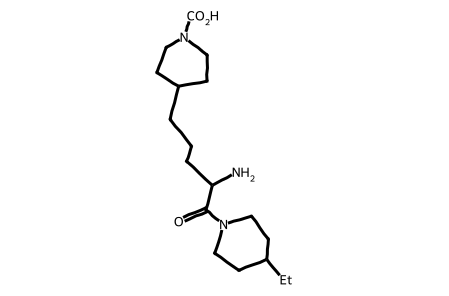 CCC1CCN(C(=O)C(N)CCCC2CCN(C(=O)O)CC2)CC1